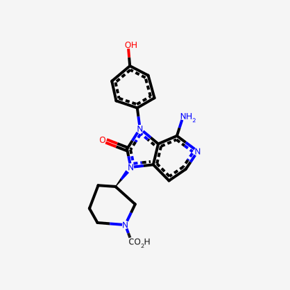 Nc1nccc2c1n(-c1ccc(O)cc1)c(=O)n2[C@@H]1CCCN(C(=O)O)C1